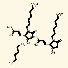 CCCCC[C@H](O)C=C[C@H]1[C@H](O)CC(=O)[C@@H]1CCCCCCC(=O)O.CCCCC[C@H](O)C=C[C@H]1[C@H](O)CC(=O)[C@@H]1CCCCCCC(=O)O.NCCCCN